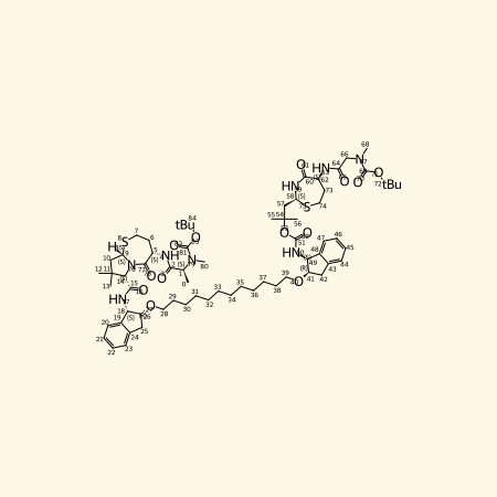 C[C@@H](C(=O)N[C@H]1CCS[C@H]2CC(C)(C)[C@@H](C(=O)N[C@H]3c4ccccc4C[C@H]3OCCCCCCCCCCCCO[C@@H]3Cc4ccccc4[C@@H]3NC(=O)OC(C)(C)C[C@H]3NC(=O)[C@@H](NC(=O)CN(C)C(=O)OC(C)(C)C)CCS3)N2C1=O)N(C)C(=O)OC(C)(C)C